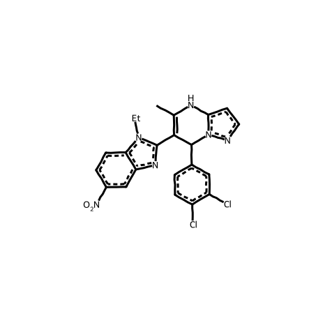 CCn1c(C2=C(C)Nc3ccnn3C2c2ccc(Cl)c(Cl)c2)nc2cc([N+](=O)[O-])ccc21